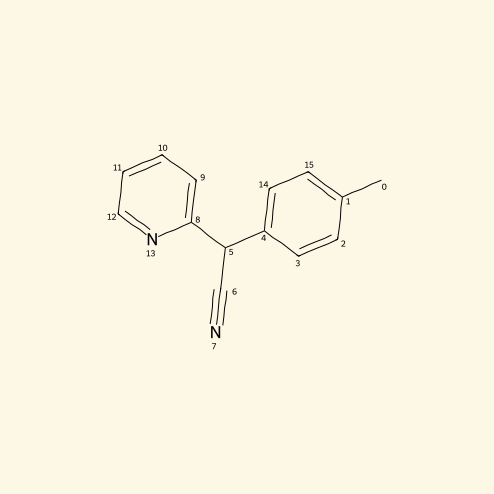 Cc1ccc(C(C#N)c2ccccn2)cc1